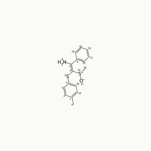 Cc1ccc(SC(=C(N)c2ccccc2)[S+](C)[O-])cc1